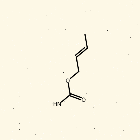 CC=CCOC([NH])=O